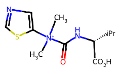 CC(C)[C@@H](NC(=O)[N+](C)(C)c1cncs1)C(=O)O